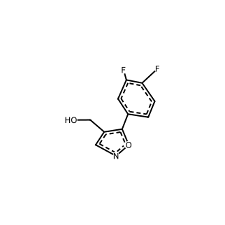 OCc1cnoc1-c1ccc(F)c(F)c1